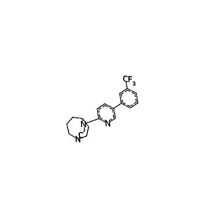 FC(F)(F)c1cccc(-c2ccc(N3CCN4CCCC3CC4)nc2)c1